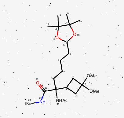 COC1(OC)CC(C(CCCCB2OC(C)(C)C(C)(C)O2)(NC(C)=O)C(=O)NC(C)(C)C)C1